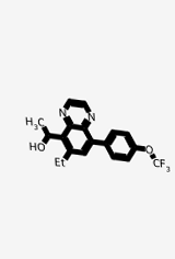 CCc1cc(-c2ccc(OC(F)(F)F)cc2)c2nccnc2c1C(C)O